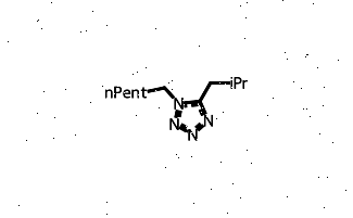 CCCCCCn1nnnc1CC(C)C